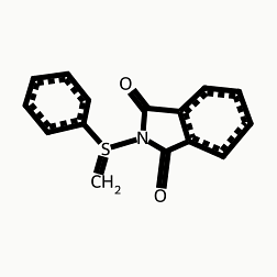 C=S(c1ccccc1)N1C(=O)c2ccccc2C1=O